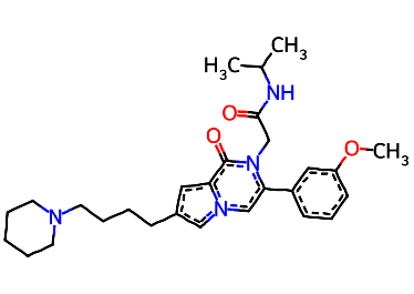 COc1cccc(-c2cn3cc(CCCCN4CCCCC4)cc3c(=O)n2CC(=O)NC(C)C)c1